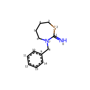 N=C1SCCCCN1Cc1ccccc1